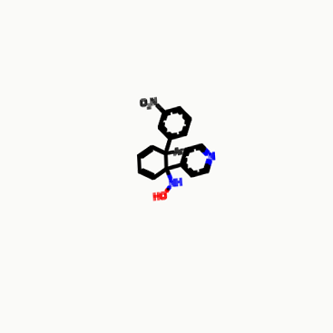 CC(=O)C1(c2cccc([N+](=O)[O-])c2)C=CC=CC1(NO)c1ccncc1